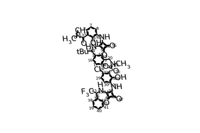 CN(C)C(=O)c1cccc(Nc2c(NC(c3cccc(CN(C)S(=O)(=O)c4c(Cl)ccc(Nc5c(NC(c6ccccc6)C(F)(F)F)c(=O)c5=O)c4O)c3)C(C)(C)C)c(=O)c2=O)c1O